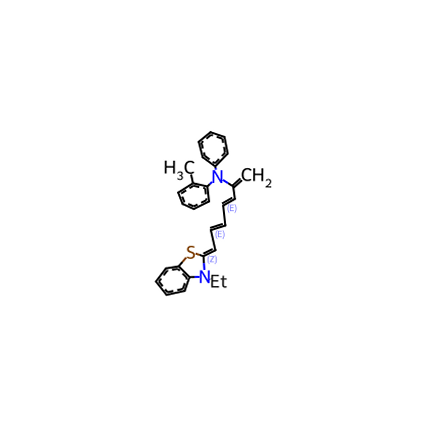 C=C(/C=C/C=C/C=C1\Sc2ccccc2N1CC)N(c1ccccc1)c1ccccc1C